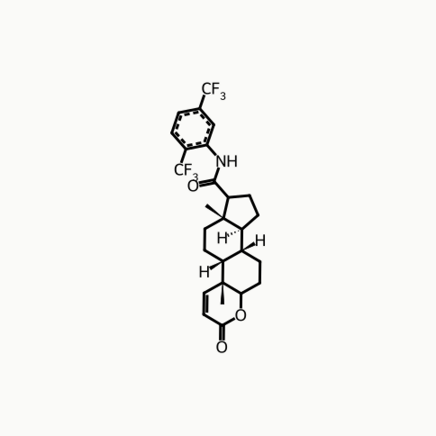 C[C@]12C=CC(=O)OC1CC[C@@H]1[C@H]2CC[C@]2(C)C(C(=O)Nc3cc(C(F)(F)F)ccc3C(F)(F)F)CC[C@@H]12